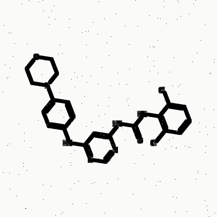 O=C(Nc1cc(Nc2ccc(N3CCOCC3)cc2)ncn1)Nc1c(Cl)cccc1Cl